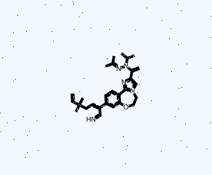 C=CC(C)(C)C/C=C(\C=N)c1ccc2c(c1)OCCn1cc(C(=C)N(N=C(C)C)C(C)C)nc1-2